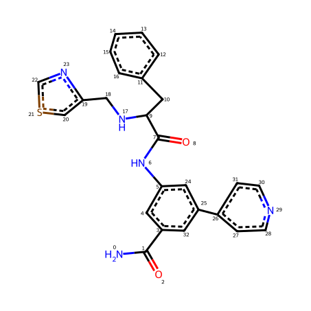 NC(=O)c1cc(NC(=O)C(Cc2ccccc2)NCc2cscn2)cc(-c2ccncc2)c1